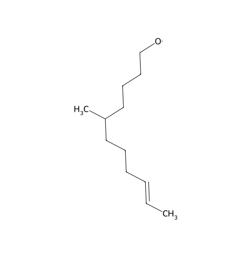 CC=CCCCC(C)CCCC[O]